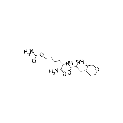 NC(=O)OCCCCC(NC(=O)C(N)CC1CCOCC1)C(N)=O